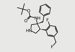 CC(C)(C)OC(=O)N[C@@]1(Cc2ccccc2)CNC[C@@H]1c1cc(CF)ccc1F